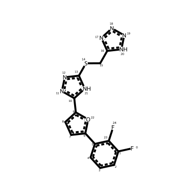 Fc1cccc(-c2ccc(-c3nnc(SCc4nnn[nH]4)[nH]3)o2)c1F